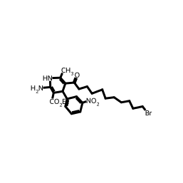 CCOC(=O)C1=C(N)NC(C)=C(C(=O)CCCCCCCCCCBr)C1c1cccc([N+](=O)[O-])c1